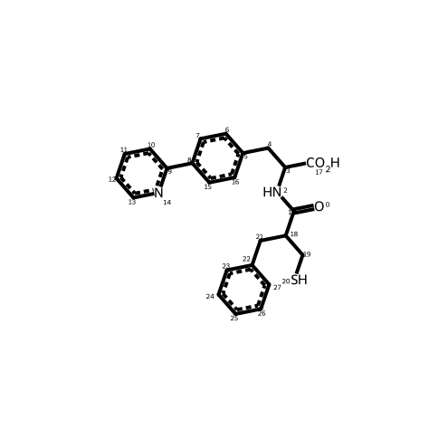 O=C(NC(Cc1ccc(-c2ccccn2)cc1)C(=O)O)C(CS)Cc1ccccc1